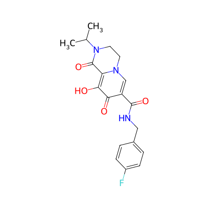 CC(C)N1CCn2cc(C(=O)NCc3ccc(F)cc3)c(=O)c(O)c2C1=O